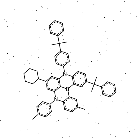 Cc1ccc(N2c3ccc(C)cc3B3c4cc(C(C)(C)c5ccccc5)ccc4N(c4ccc(C(C)(C)c5ccccc5)cc4)c4cc(C5CCCCC5)cc2c43)cc1